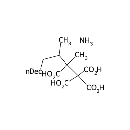 CCCCCCCCCCCC(C)C(C)(C(=O)O)C(C(=O)O)(C(=O)O)C(=O)O.N